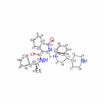 CC[C@H](NC(=O)c1c(CN2CCC(C3CCNCC3)CC2)n(-c2ccccc2)c(=O)c2ccccc12)c1ccccc1